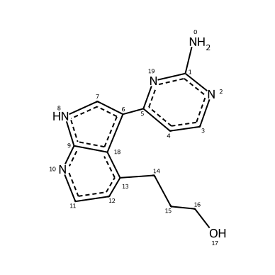 Nc1nccc(-c2c[nH]c3nccc(CCCO)c23)n1